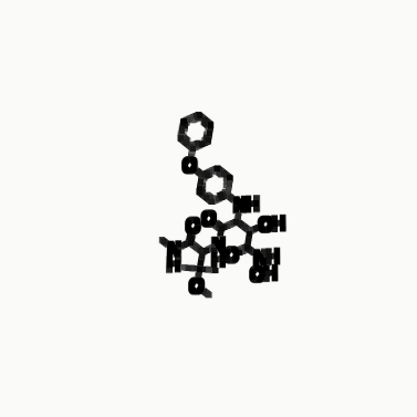 CNC(=O)C(NC(=O)C(Nc1ccc(Oc2ccccc2)cc1)C(O)C(=O)NO)C(C)(C)OC